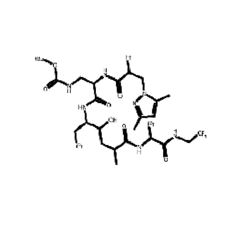 CCC(Cn1nc(C)cc1C)C(=O)NC(CNC(=O)OC(C)(C)C)C(=O)NC(CC(C)C)C(O)CC(C)C(=O)NC(C(=O)NCC(F)(F)F)C(C)C